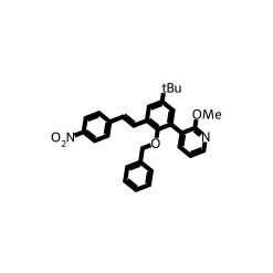 COc1ncccc1-c1cc(C(C)(C)C)cc(/C=C/c2ccc([N+](=O)[O-])cc2)c1OCc1ccccc1